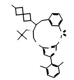 Cc1cccc(C)c1-c1cc2nc(n1)NS(=O)(=O)c1cccc(c1)CC(C1CC3(CC(N)C3)C1)[C@H](CC(C)(C)C)CO2